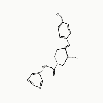 CC1CN(C(=O)Nc2cccnc2)CCC1=Cc1ccc(Cl)cc1